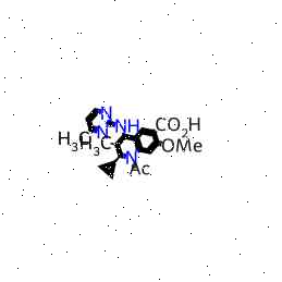 COc1cc2c(cc1C(=O)O)[C@H](Nc1nccc(C)n1)[C@@H](C)[C@H](C1CC1)N2C(C)=O